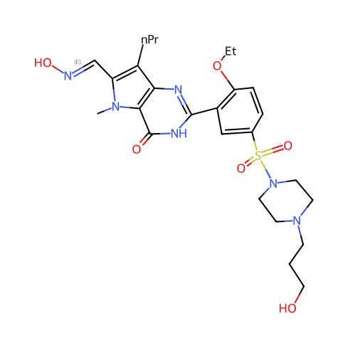 CCCc1c(/C=N/O)n(C)c2c(=O)[nH]c(-c3cc(S(=O)(=O)N4CCN(CCCO)CC4)ccc3OCC)nc12